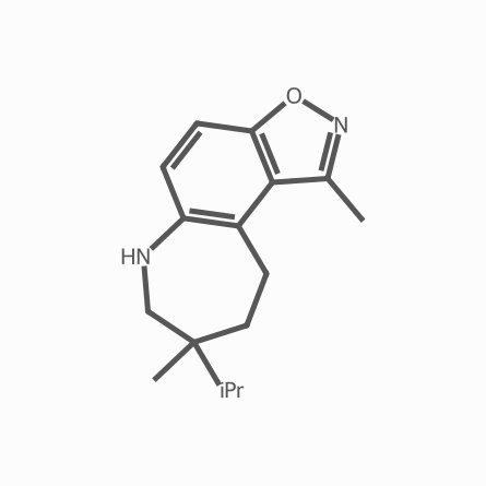 Cc1noc2ccc3c(c12)CCC(C)(C(C)C)CN3